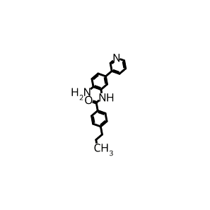 CCCc1ccc(C(=O)Nc2cc(-c3cccnc3)ccc2N)cc1